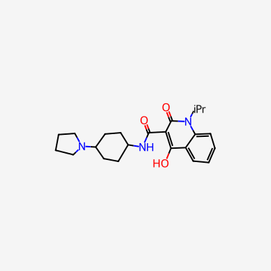 CC(C)n1c(=O)c(C(=O)NC2CCC(N3CCCC3)CC2)c(O)c2ccccc21